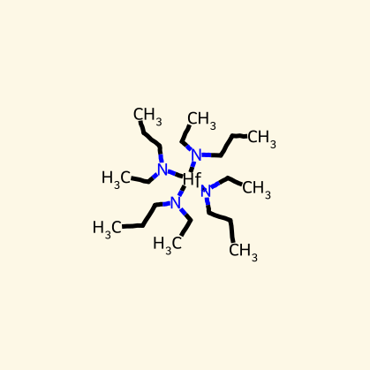 CCC[N](CC)[Hf]([N](CC)CCC)([N](CC)CCC)[N](CC)CCC